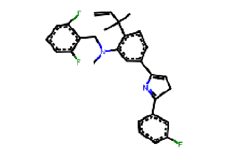 C=CC(C)(C)c1ccc(C2=CCC(c3cccc(F)c3)=N2)cc1N(C)Cc1c(F)cccc1F